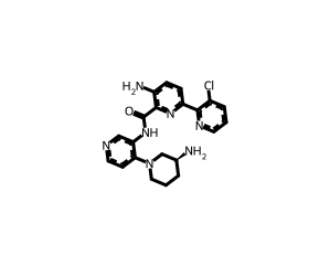 Nc1ccc(-c2ncccc2Cl)nc1C(=O)Nc1cnccc1N1CCC[C@H](N)C1